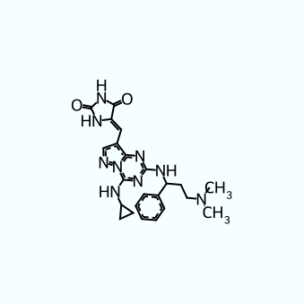 CN(C)CCC(Nc1nc(NC2CC2)n2ncc(/C=C3\NC(=O)NC3=O)c2n1)c1ccccc1